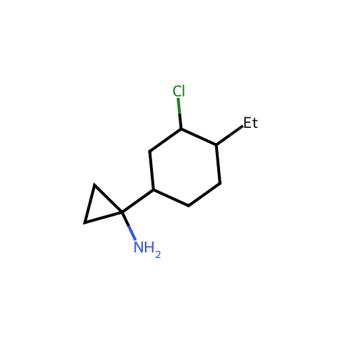 CCC1CCC(C2(N)CC2)CC1Cl